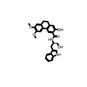 COc1cc2c(cc1OC)-c1cc(C(=O)N[C@@H](CO)Cc3c[nH]c4ccccc34)c(O)cc1CC2